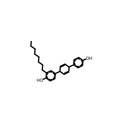 CCCCCCCCc1cc(C2C=CC(c3ccc(O)cc3)C=C2)ccc1O